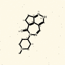 CN1CCC(N2N=CC3=CNN=C4CCC(=C34)C2=O)CC1